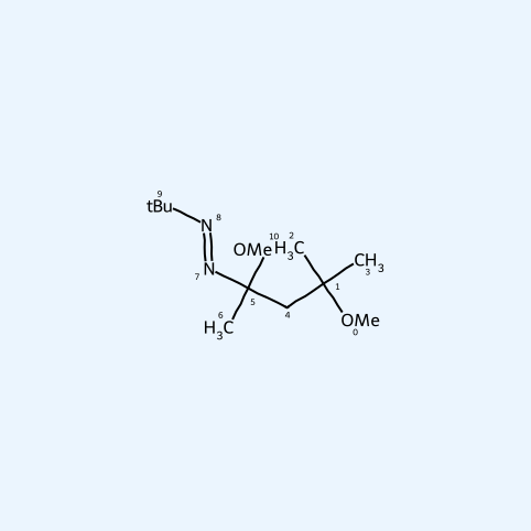 COC(C)(C)CC(C)(N=NC(C)(C)C)OC